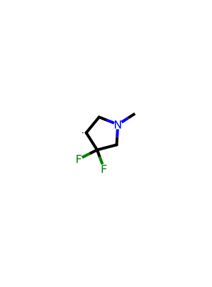 CN1C[CH]C(F)(F)C1